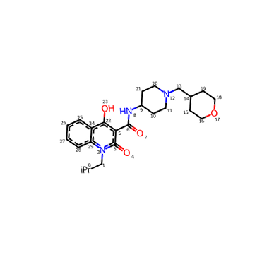 CC(C)Cn1c(=O)c(C(=O)NC2CCN(CC3CCOCC3)CC2)c(O)c2ccccc21